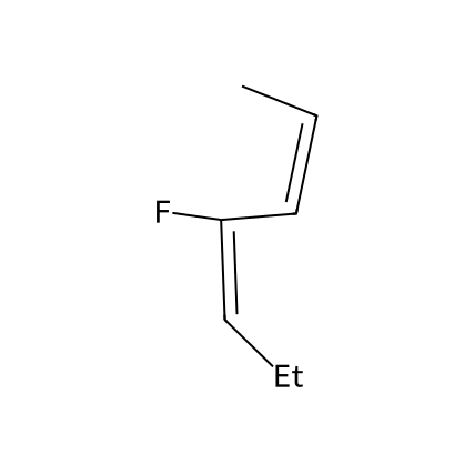 C/C=C\C(F)=C/CC